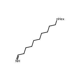 CCCCCCCCCCCCCCCC=N